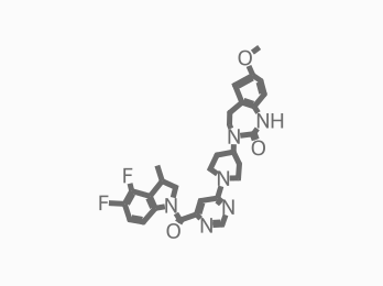 COc1ccc2c(c1)CCN(C1CCN(c3cc(C(=O)N4CC(C)c5c4ccc(F)c5F)ncn3)CC1)C(=O)N2